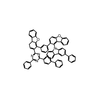 C1=C(c2nc(-c3ccccc3)nc(-c3ccc(-c4ccccc4)cc3)n2)C(c2cccc(-c3ccc4oc5ccccc5c4c3-n3c4ccccc4c4cc(-c5ccccc5)ccc43)c2)=C2Oc3ccccc3C2C1